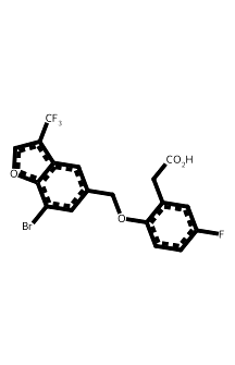 O=C(O)Cc1cc(F)ccc1OCc1cc(Br)c2occ(C(F)(F)F)c2c1